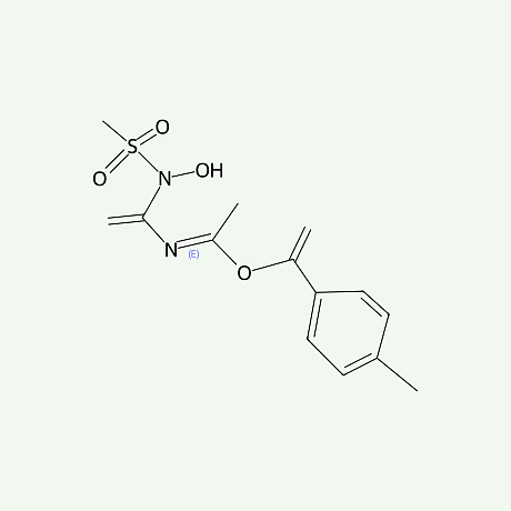 C=C(O/C(C)=N/C(=C)N(O)S(C)(=O)=O)c1ccc(C)cc1